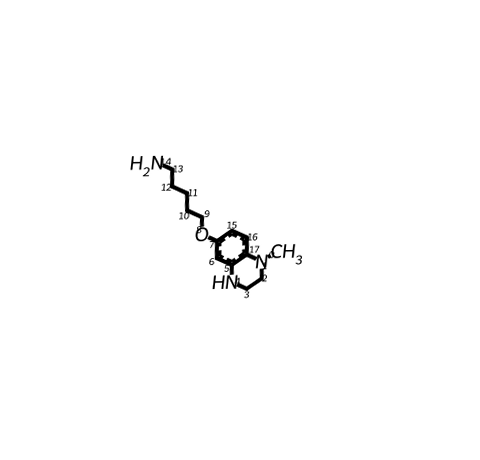 CN1CCNc2cc(OCCCCCN)ccc21